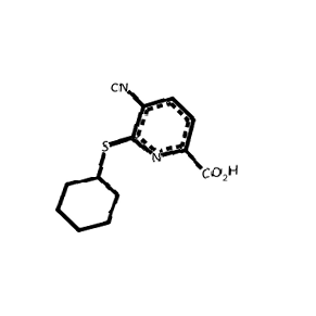 [C-]#[N+]c1ccc(C(=O)O)nc1SC1CCCCC1